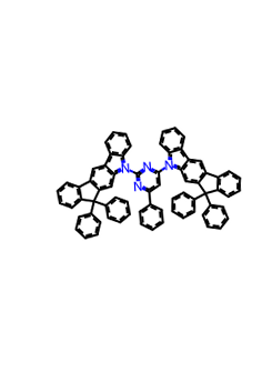 c1ccc(-c2cc(-n3c4ccccc4c4cc5c(cc43)C(c3ccccc3)(c3ccccc3)c3ccccc3-5)nc(-n3c4ccccc4c4cc5c(cc43)C(c3ccccc3)(c3ccccc3)c3ccccc3-5)n2)cc1